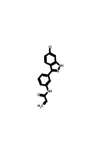 C=CC(=O)Nc1cccc(-c2n[nH]c3cc(Cl)ccc23)c1